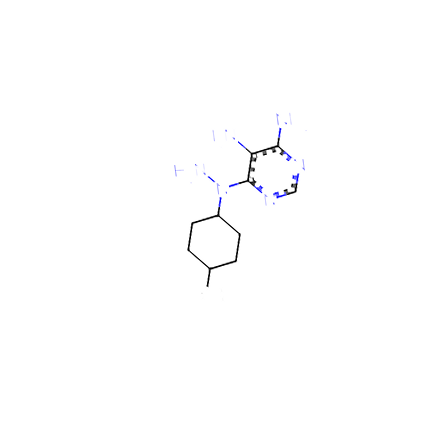 CC1CCC(N(N)c2ncnc(N)c2N)CC1